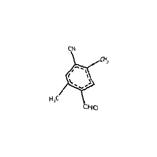 Cc1cc(C=O)c(C)cc1C#N